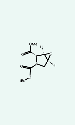 COC(=O)[C@@H]1[C@H]2O[C@H]2CN1C(=O)OC(C)(C)C